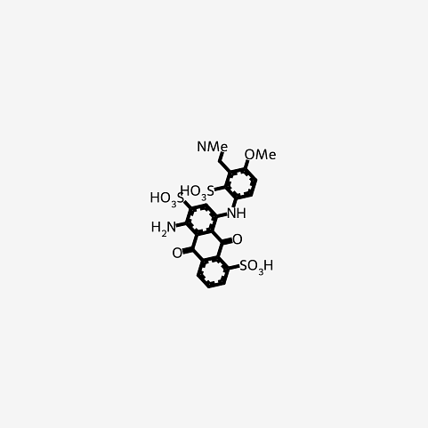 CNCc1c(OC)ccc(Nc2cc(S(=O)(=O)O)c(N)c3c2C(=O)c2c(cccc2S(=O)(=O)O)C3=O)c1S(=O)(=O)O